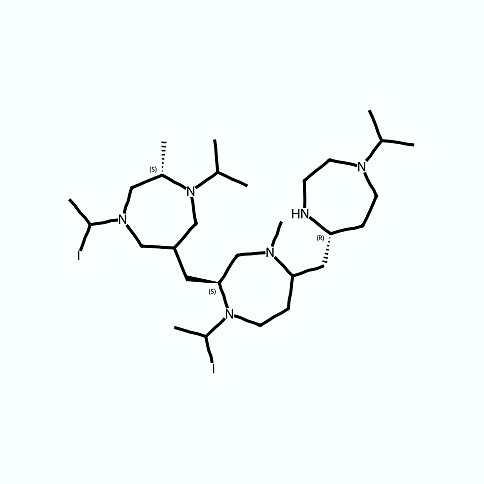 CC(C)N1CCN[C@@H](CC2CCN(C(C)I)[C@@H](CC3CN(C(C)I)C[C@H](C)N(C(C)C)C3)CN2C)CC1